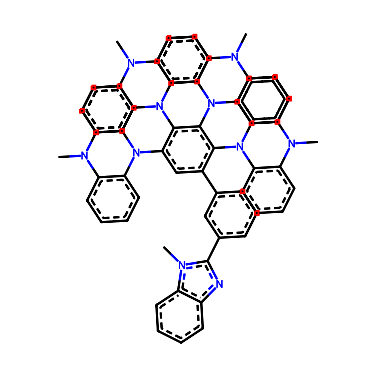 CN1c2ccccc2N(c2cc(-c3cccc(-c4nc5ccccc5n4C)c3)c(N3c4ccccc4N(C)c4ccccc43)c(N3c4ccccc4N(C)c4ccccc43)c2N2c3ccccc3N(C)c3ccccc32)c2ccccc21